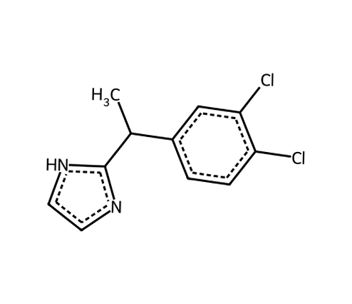 CC(c1ccc(Cl)c(Cl)c1)c1ncc[nH]1